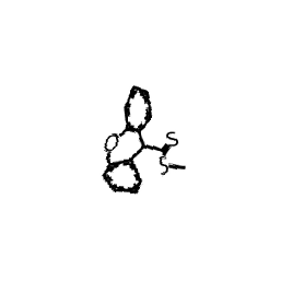 CSC(=S)C1c2ccccc2Oc2ccccc21